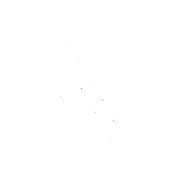 CON=C1CC(c2noc([C@@H](N)CO)n2)N(C(=O)c2ccc(-c3ccccc3)cc2)C1